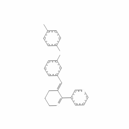 Clc1ccc(Oc2cccc(/C=C3\CCCN=C3c3cccnc3)c2)cc1